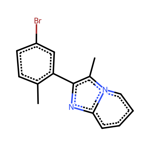 Cc1ccc(Br)cc1-c1nc2ccccn2c1C